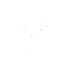 O=C(O)c1cccc(NC(=O)c2nc(C3CCCCCCCCCCC3)[nH]c2CCC23CC4CC(CC(C4)C2)C3)c1